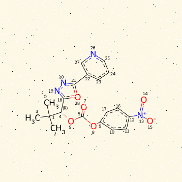 CC(C)(C)[C@@H](OC(=O)Oc1ccc([N+](=O)[O-])cc1)c1nnc(-c2cccnc2)o1